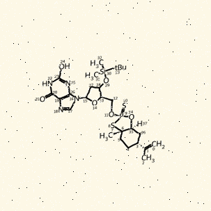 C=C(C)[C@@H]1CC[C@]2(C)S[P@@](=S)(OC[C@H]3O[C@@H](n4cnc5c(=O)[nH]c(O)nc54)CC3O[Si](C)(C)C(C)(C)C)O[C@H]2C1